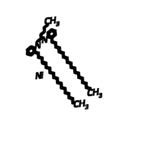 CCCCCCCCCCCCCCCCC=CCCCc1ccccc1N=CC(CCCCC)=Nc1ccccc1CCCC=CCCCCCCCCCCCCCCCC.[Ni]